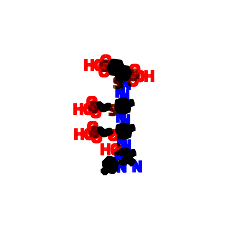 Cc1ccc2c(c1)nc1c(C#N)c(C)c(N=Nc3cc(C)c(N=Nc4cc(C)c(N=Nc5nc6c(S(=O)(=O)O)cc7ccc(S(=O)(=O)O)cc7c6s5)cc4SCCCS(=O)(=O)O)cc3OCCCS(=O)(=O)O)c(O)n12